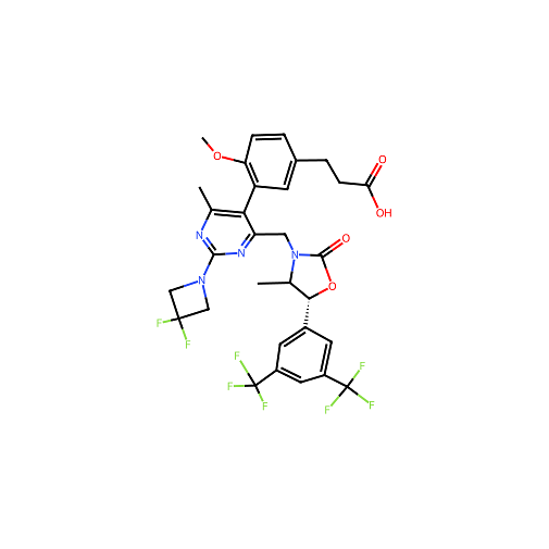 COc1ccc(CCC(=O)O)cc1-c1c(C)nc(N2CC(F)(F)C2)nc1CN1C(=O)O[C@H](c2cc(C(F)(F)F)cc(C(F)(F)F)c2)C1C